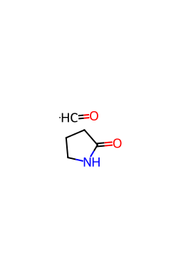 O=C1CCCN1.[CH]=O